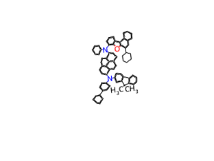 CC1(C)c2ccccc2-c2ccc(N(c3ccc(-c4ccccc4)cc3)c3ccc4ccc5c(N(c6ccccc6)c6cccc7c6oc6c(C8CCCCC8)cc8ccccc8c67)ccc6ccc3c4c65)cc21